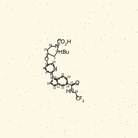 CC(C)(C)C1CC(Oc2ccc(-n3ccc4cc(C(=O)NCC(F)(F)F)ccc43)nc2)CCN1C(=O)O